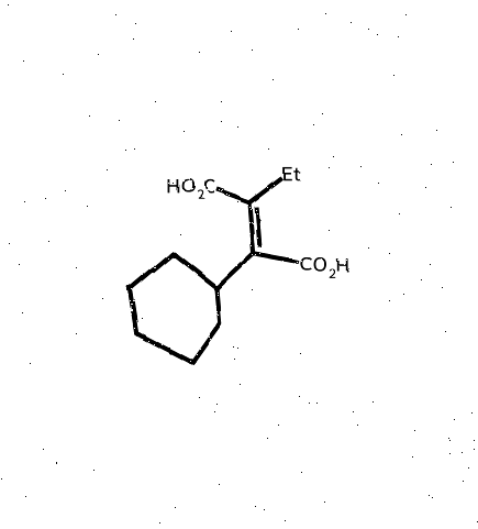 CCC(C(=O)O)=C(C(=O)O)C1CCCCC1